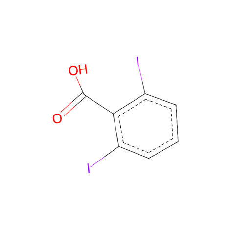 O=C(O)c1c(I)cccc1I